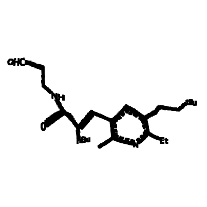 CCCC/C(=C\c1cc(CCC(C)(C)C)c(CC)nc1C)C(=O)NCCC=O